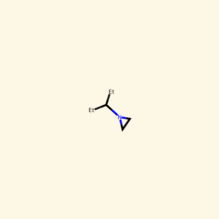 CCC(CC)N1CC1